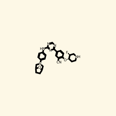 N#Cc1cc(-c2ncnc(Nc3ccc(N4CC5CCC(C4)O5)cc3)n2)ccc1O[C@H]1CCNC[C@@H]1F